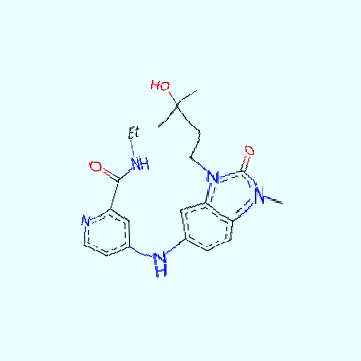 CCNC(=O)c1cc(Nc2ccc3c(c2)n(CCC(C)(C)O)c(=O)n3C)ccn1